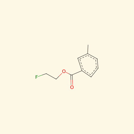 Cc1cccc(C(=O)OCCF)c1